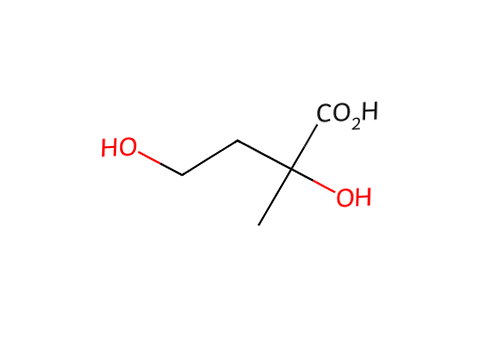 CC(O)(CCO)C(=O)O